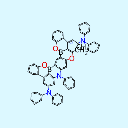 C=C(/C=C1\C2=C(C)Oc3cc4c(cc3B2Oc2ccccc21)B1Oc2ccccc2-c2cc(N(c3ccccc3)c3ccccc3)cc(c21)N4c1ccccc1)N(c1ccccc1)c1ccccc1